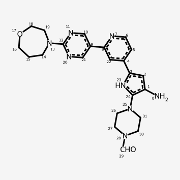 Nc1cc(-c2ccnc(-c3cnc(N4CCCOCC4)nc3)c2)[nH]c1N1CCN(C=O)CC1